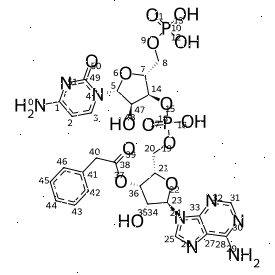 Nc1ccn([C@@H]2O[C@H](COP(=O)(O)O)[C@@H](OP(=O)(O)OC[C@@H]3O[C@@H](n4cnc5c(N)ncnc54)[C@H](O)[C@@H]3OC(=O)Cc3ccccc3)[C@H]2O)c(=O)n1